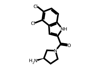 N[C@@H]1CCN(C(=O)c2cc3c(Cl)c(Cl)ccc3[nH]2)C1